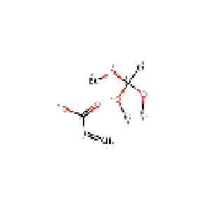 C=CC([O])=O.[CH2]CC(OCC)(OCC)OCC